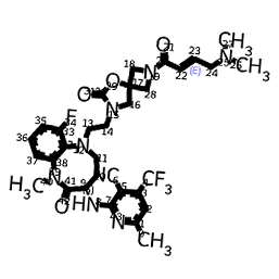 Cc1cc(C(F)(F)F)c(C#N)c(N[C@H]2CCN(CCN3CC4(CN(C(=O)/C=C/CN(C)C)C4)OC3=O)c3c(F)cccc3N(C)C2=O)n1